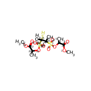 COC(=O)C(C)OS(=O)(=O)C(C)(C)C(C)(S)S(=O)(=O)OC(C)C(=O)OC